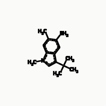 Bc1cc2c(C(C)(C)C)cn(C)c2cc1C